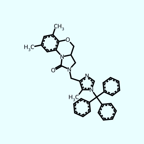 Cc1cc(C)c2c(c1)N1C(=O)N(Cc3ncn(C(c4ccccc4)(c4ccccc4)c4ccccc4)c3C)CC1CO2